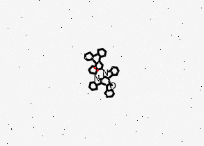 c1ccc(-n2c3ccccc3c3c4c5ccccc5oc4c4c5ccccc5n(-c5ccc6c7ccccc7c7ccccc7c6c5)c4c32)cc1